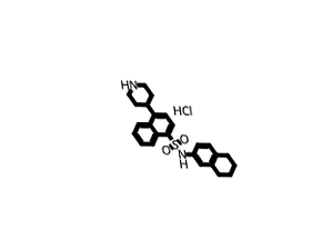 Cl.O=S(=O)(Nc1ccc2c(c1)CCCC2)c1ccc(C2CCNCC2)c2ccccc12